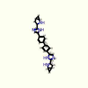 c1cc(-c2cnc(C3CC4CC4N3)[nH]2)ccc1-c1ccc(-c2cnc(C3CC4CC4N3)[nH]2)cc1